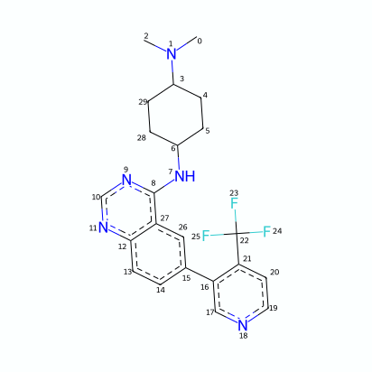 CN(C)C1CCC(Nc2ncnc3ccc(-c4cnccc4C(F)(F)F)cc23)CC1